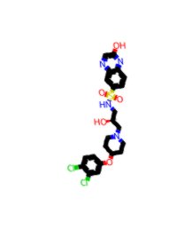 O=S(=O)(NC[C@H](O)CN1CCC(Oc2ccc(Cl)c(Cl)c2)CC1)c1ccc2nc(O)cnc2c1